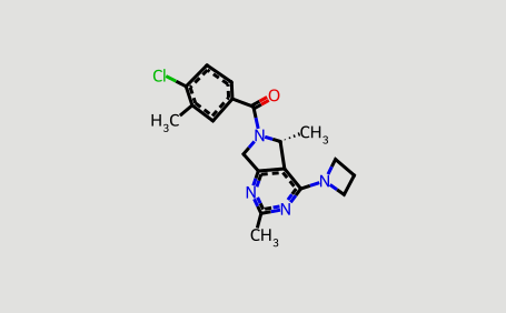 Cc1nc2c(c(N3CCC3)n1)[C@@H](C)N(C(=O)c1ccc(Cl)c(C)c1)C2